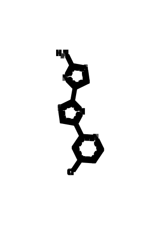 Nc1nc(-c2nc(-c3cc(Cl)ccn3)cs2)cs1